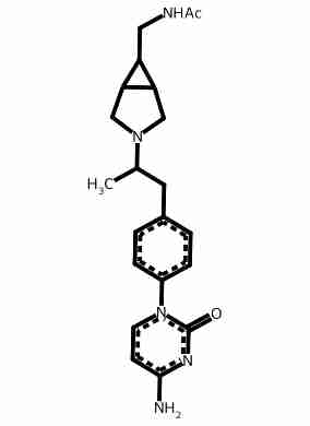 CC(=O)NCC1C2CN(C(C)Cc3ccc(-n4ccc(N)nc4=O)cc3)CC12